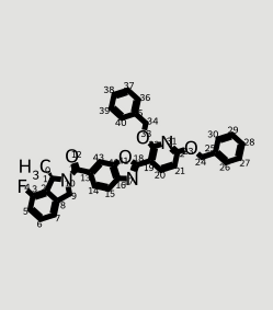 C[C@@H]1c2c(F)cccc2CN1C(=O)c1ccc2nc(-c3ccc(OCc4ccccc4)nc3OCc3ccccc3)oc2c1